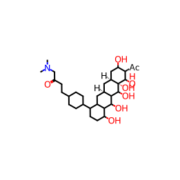 CC(=O)C1C(O)C[C@@H]2C[C@@H]3CC4C(C5CCC(CCC(=O)CN(C)C)CC5)CCC(O)C4C(O)C3C(O)[C@]2(O)C1O